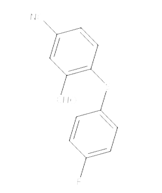 N#Cc1ccc(Sc2ccc(F)cc2)c(C=O)c1